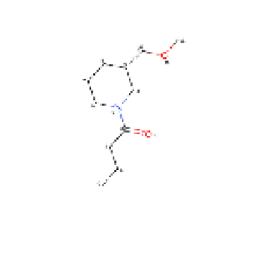 CCCC(=O)N1CCC[C@H](COC)C1